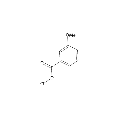 COc1cccc(C(=O)OCl)c1